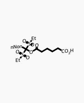 CCCCCCCCCC(OC(=O)CCCCC(=O)O)(S(=O)(=O)CC)S(=O)(=O)CC